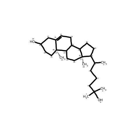 CC(CCCC(C)(C)O)C1CCC2C3CC=C4CC(O)CC[C@]4(C)C3CC[C@]12C